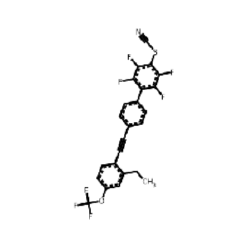 CCc1cc(OC(F)(F)F)ccc1C#Cc1ccc(-c2c(F)c(F)c(SC#N)c(F)c2F)cc1